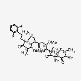 CC[C@H](C)C([C@@H](CC(=O)N1C[C@@H](N)C[C@H]1[C@H](OC)[C@@H](C)C(=O)NCCc1c(F)cccc1F)OC)N(C)C(=O)[C@@H](NC(=O)C(C(C)C)N(C)C)C(C)C